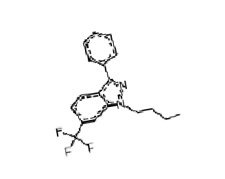 CCCCn1nc(-c2ccccc2)c2ccc(C(F)(F)F)cc21